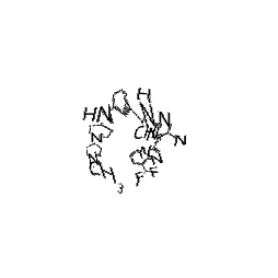 C[C@H](Nc1ncc(C#N)c(-c2cnc3c(C(F)F)cccn23)n1)c1cccc(NC2CCN(C3CCN(C)CC3)CC2)c1